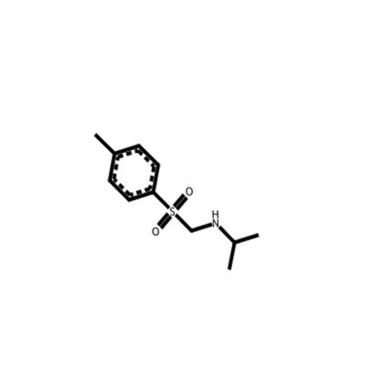 Cc1ccc(S(=O)(=O)CNC(C)C)cc1